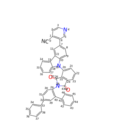 N#Cc1ccncc1-c1ccc2c(c1)c1ccccc1n2-c1cccc2c1C(=O)N(c1ccc(-c3ccccc3)cc1-c1ccccc1)C2=O